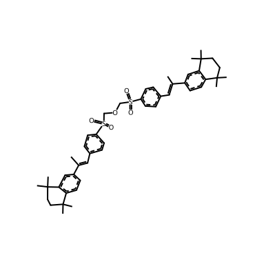 C/C(=C\c1ccc(S(=O)(=O)COCS(=O)(=O)c2ccc(/C=C(\C)c3ccc4c(c3)C(C)(C)CCC4(C)C)cc2)cc1)c1ccc2c(c1)C(C)(C)CCC2(C)C